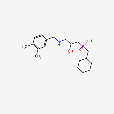 Cc1ccc(CNCC(O)CP(=O)(O)CC2CCCCC2)cc1C